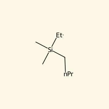 C[CH][Si](C)(C)CCCC